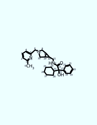 Cc1cccc(CN2CC3C(CNC(=O)C(O)(c4ccccc4)C4CCCCC4)C3C2)n1